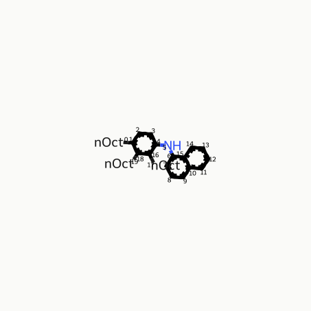 CCCCCCCCc1ccc(Nc2cccc3ccccc23)c(CCCCCCCC)c1CCCCCCCC